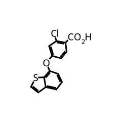 O=C(O)c1ccc(Oc2cccc3ccsc23)cc1Cl